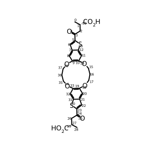 C[C@@H](CC(=O)c1cc2cc3c(cc2s1)OCCCOc1cc2cc(C(=O)C[C@H](C)C(=O)O)sc2cc1OCCCO3)C(=O)O